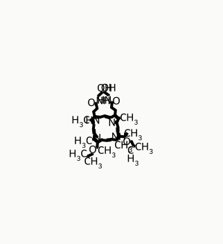 CC1=C(CCC(=O)NCCO)c2cc3[nH]c(cc4nc(cc5[nH]c(cc1n2)c(C(C)OCC(C)C)c5C)C(C(C)OCC(C)C)=C4C)c(C)c3CCC(=O)NCCO